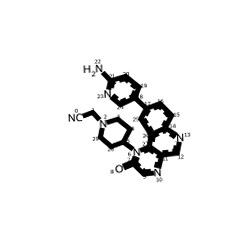 N#CCN1CCC(n2c(=O)cnc3cnc4ccc(-c5ccc(N)nc5)cc4c32)CC1